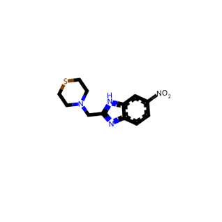 O=[N+]([O-])c1ccc2nc(CN3CCSCC3)[nH]c2c1